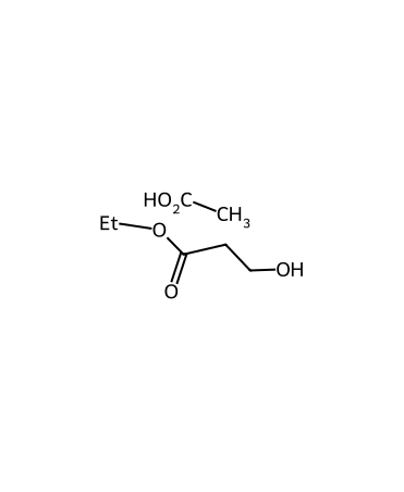 CC(=O)O.CCOC(=O)CCO